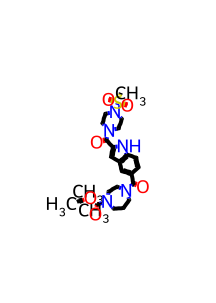 CC(C)(C)OC(=O)N1CCCN(C(=O)c2ccc3[nH]c(C(=O)N4CCN(S(C)(=O)=O)CC4)cc3c2)CC1